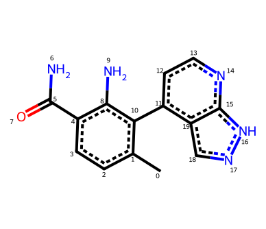 Cc1ccc(C(N)=O)c(N)c1-c1ccnc2[nH]ncc12